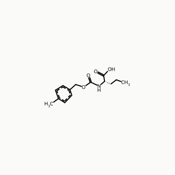 CCC[C@H](NC(=O)OCc1ccc(C)cc1)C(=O)O